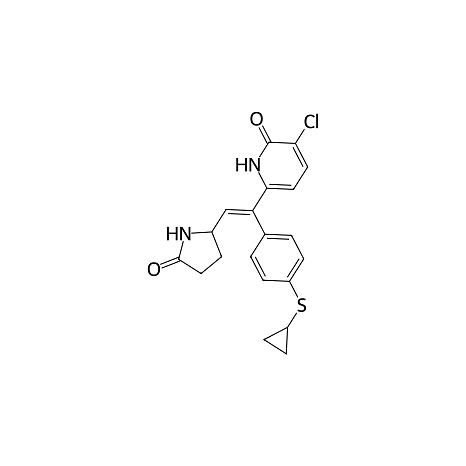 O=C1CCC(/C=C(\c2ccc(SC3CC3)cc2)c2ccc(Cl)c(=O)[nH]2)N1